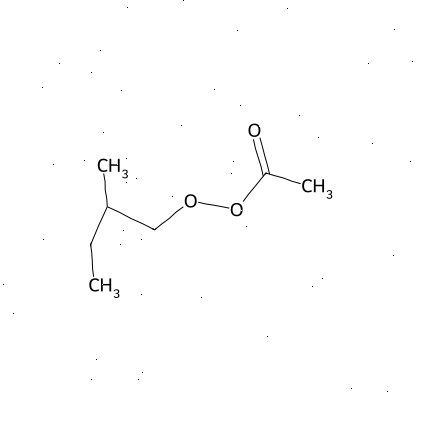 CCC(C)COOC(C)=O